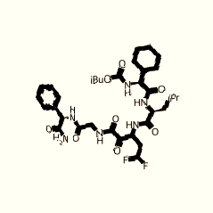 CC(C)COC(=O)N[C@H](C(=O)N[C@@H](CC(C)C)C(=O)NC(CC(F)F)C(=O)C(=O)NCC(=O)N[C@H](C(N)=O)c1ccccc1)C1CCCCC1